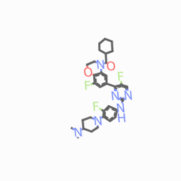 CN(C)C1CCN(c2ccc(Nc3ncc(F)c(-c4cc(F)c5c(c4)N(C(=O)C4CCCCC4)CCO5)n3)cc2F)CC1